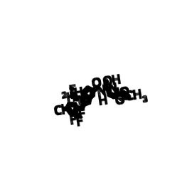 [2H]C([2H])(F)Cn1c(Cc2ccc(Cl)cc2C(F)(F)F)cc2cc(C(=O)N[C@@H](CO)c3ccc(S(=O)(=O)CC)cn3)ccc21